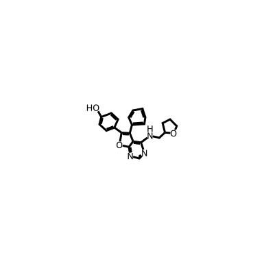 Oc1ccc(-c2oc3ncnc(NCC4CCCO4)c3c2-c2ccccc2)cc1